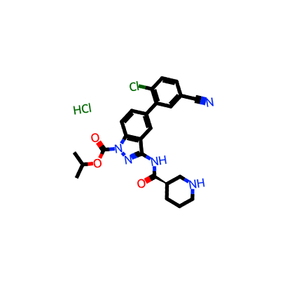 CC(C)OC(=O)n1nc(NC(=O)[C@@H]2CCCNC2)c2cc(-c3cc(C#N)ccc3Cl)ccc21.Cl